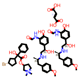 COc1ccc(C[C@@H](C)NC[C@H](O)c2ccc(O)c(NC=O)c2)cc1.COc1ccc(C[C@@H](C)NC[C@H](O)c2ccc(O)c(NC=O)c2)cc1.C[N+]1(C)CCC(OC(=O)C(O)(c2ccccc2)C2CCCC2)C1.O=C(O)/C=C/C(=O)O.[Br-]